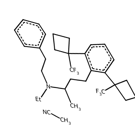 CC#N.CCN(CCc1ccccc1)C(C)CCc1c(C2(C(F)(F)F)CCC2)cccc1C1(C(F)(F)F)CCC1